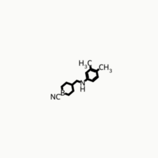 Cc1ccc(NCC2CCB(C#N)CC2)cc1C